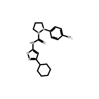 O=C(Nc1cc(C2CCCCC2)no1)N1CCCN1c1ccc(C(F)(F)F)cc1